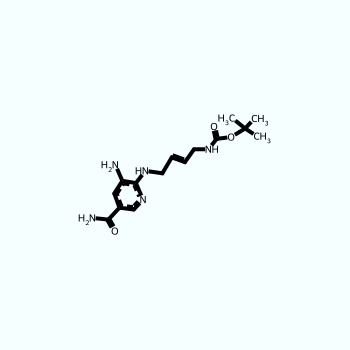 CC(C)(C)OC(=O)NC/C=C/CNc1ncc(C(N)=O)cc1N